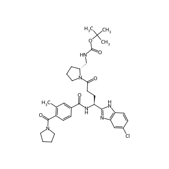 Cc1cc(C(=O)N[C@@H](CCC(=O)N2CCC[C@@H]2CNC(=O)OC(C)(C)C)c2nc3cc(Cl)ccc3[nH]2)ccc1C(=O)N1CCCC1